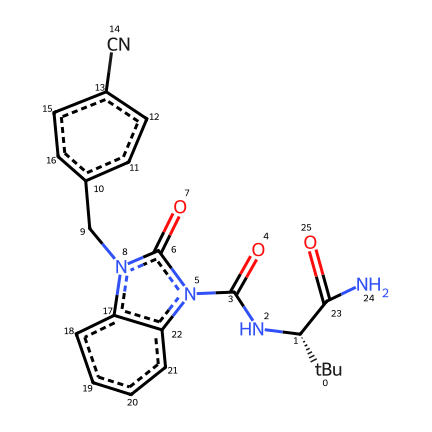 CC(C)(C)[C@H](NC(=O)n1c(=O)n(Cc2ccc(C#N)cc2)c2ccccc21)C(N)=O